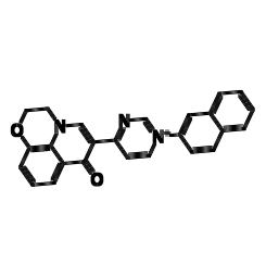 O=c1c(-c2cc[n+](-c3ccc4ccccc4c3)cn2)cn2c3c(cccc13)OCC2